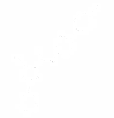 O=C(Nc1ccc(N2CC[S+]([O-])CC2)nc1)c1nc(-c2ccccc2)oc1C(F)(F)F